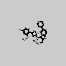 CCc1nc2ccc(C3CCNCC3)cn2c1N(C)c1nc(-c2ccc(F)cc2NC)ns1